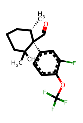 C[C@H]1CCCC(C)(C)[C@@]1(C=O)c1ccc(OC(F)(F)F)c(F)c1